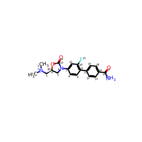 CN(C)C[C@@H]1CN(c2ccc(-c3ccc(C(N)=O)cc3)c(F)c2)C(=O)O1